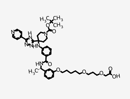 C[C@H](NC(=O)c1cccc(NC2(c3nnc(-c4ccncc4)[nH]3)CCN(C(=O)OC(C)(C)C)CC2)c1)c1cccc(OCCCCCOCCCOCC(=O)O)c1